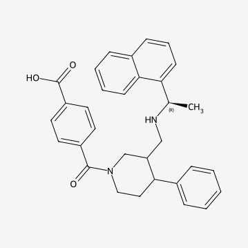 C[C@@H](NCC1CN(C(=O)c2ccc(C(=O)O)cc2)CCC1c1ccccc1)c1cccc2ccccc12